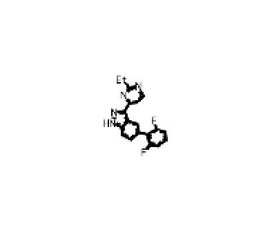 CCc1nccc(-c2n[nH]c3ccc(-c4c(F)cccc4F)cc23)n1